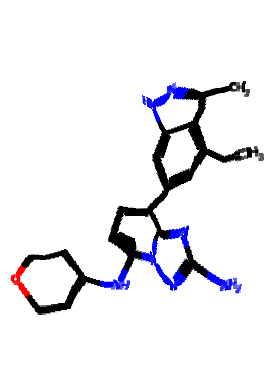 Cc1cc(-c2ccc(NC3CCOCC3)n3nc(N)nc23)cc2[nH]nc(C)c12